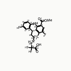 COC(=O)c1cc(F)c(C(F)(F)F)cc1Nc1ccc(F)cc1CCCN.O=C(O)C(F)(F)F